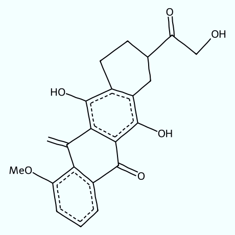 C=C1c2c(OC)cccc2C(=O)c2c(O)c3c(c(O)c21)CCC(C(=O)CO)C3